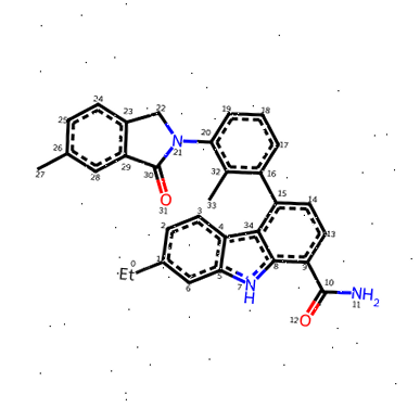 [CH2][CH]c1ccc2c(c1)[nH]c1c(C(N)=O)ccc(-c3cccc(N4Cc5ccc(C)cc5C4=O)c3C)c12